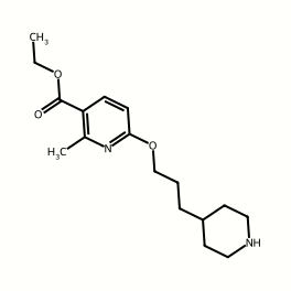 CCOC(=O)c1ccc(OCCCC2CCNCC2)nc1C